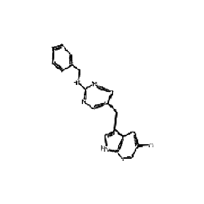 Clc1cnc2[nH]cc(Cc3cnc(NCc4ccccc4)nc3)c2c1